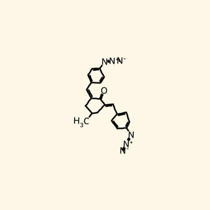 CC1CC(=Cc2ccc(N=[N+]=[N-])cc2)C(=O)C(=Cc2ccc(N=[N+]=[N-])cc2)C1